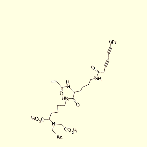 C=CC(=O)NC(CCCCNC(=O)CC#CC#CCCC)C(=O)NCCCCC(C(=O)O)N(CC(C)=O)CC(=O)O